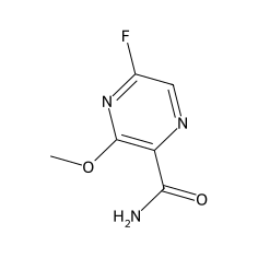 COc1nc(F)cnc1C(N)=O